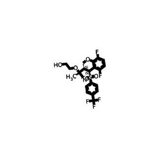 C[C@@](C#N)(OCCO)[C@@H]1COc2c(F)ccc(F)c2[C@H]1S(=O)(=O)c1ccc(C(F)(F)F)cc1